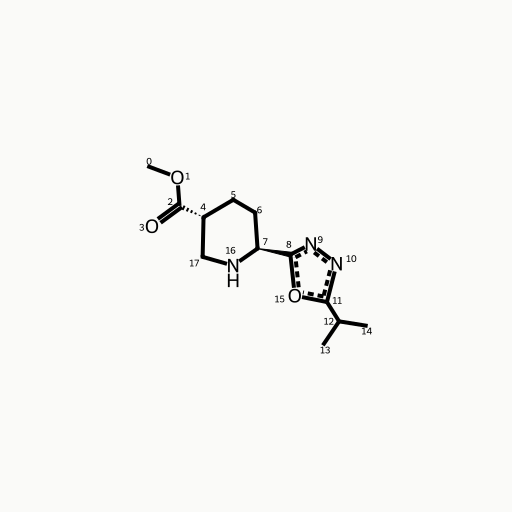 COC(=O)[C@@H]1CC[C@@H](c2nnc(C(C)C)o2)NC1